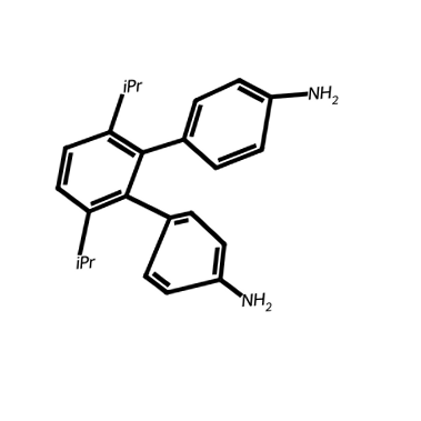 CC(C)c1ccc(C(C)C)c(-c2ccc(N)cc2)c1-c1ccc(N)cc1